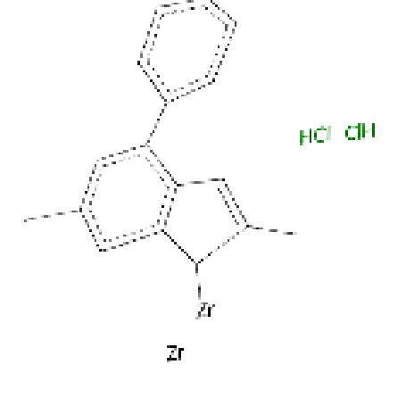 CC1=Cc2c(-c3ccccc3)cc(C)cc2[CH]1[Zr].Cl.Cl.[Zr]